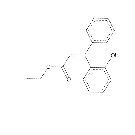 CCOC(=O)C=C(c1ccccc1)c1ccccc1O